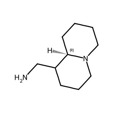 NCC1CCCN2CCCC[C@H]12